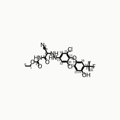 CCOC(=O)NC(=O)C(C#N)NNc1cc(Cl)c(Oc2ccc(O)c(C(C)(C)F)c2)c(Cl)c1